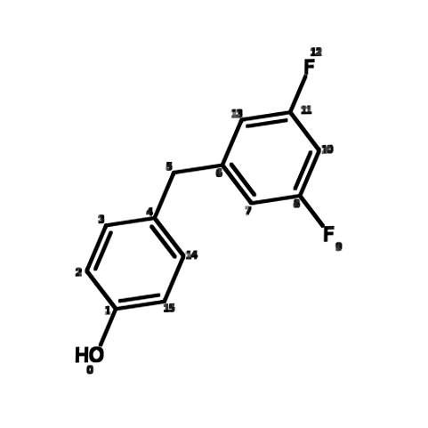 Oc1ccc(Cc2cc(F)cc(F)c2)cc1